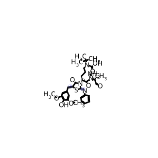 COc1cc(/C=C2\S/C(=N\c3ccccc3)N([C@@H](CCCN(C(=O)O)C(C)(C)C)C(=O)N(N)[C@@H](C)C=O)C2=O)cc(OC)c1O